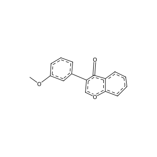 COc1cccc(-c2coc3ccccc3c2=O)c1